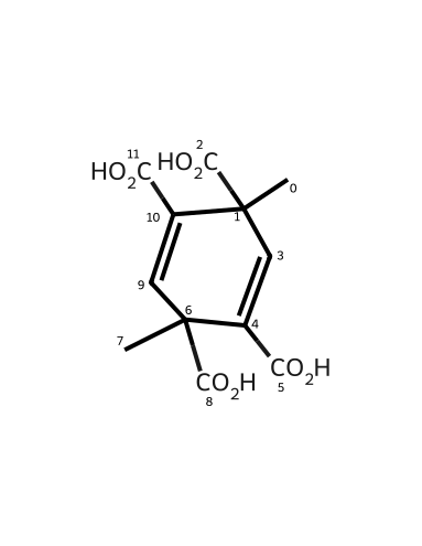 CC1(C(=O)O)C=C(C(=O)O)C(C)(C(=O)O)C=C1C(=O)O